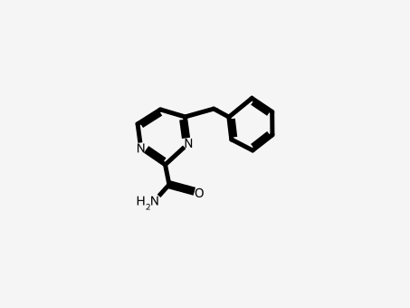 NC(=O)c1nccc([CH]c2ccccc2)n1